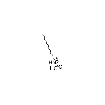 CCCCCCCCCCCC1NC(C(=O)O)CS1